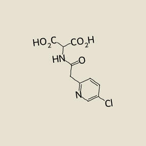 O=C(Cc1ccc(Cl)cn1)NC(C(=O)O)C(=O)O